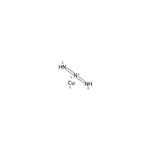 N=[N+]=N.[Cu]